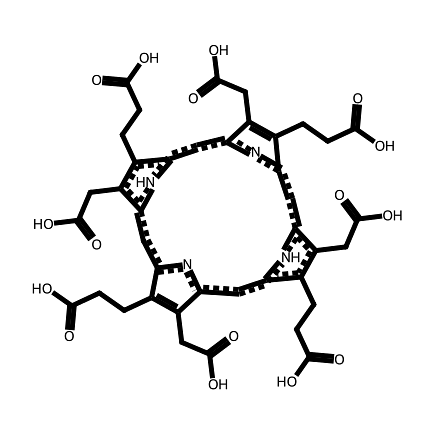 O=C(O)CCC1=C(CC(=O)O)c2cc3[nH]c(cc4nc(cc5[nH]c(cc1n2)c(CC(=O)O)c5CCC(=O)O)C(CC(=O)O)=C4CCC(=O)O)c(CC(=O)O)c3CCC(=O)O